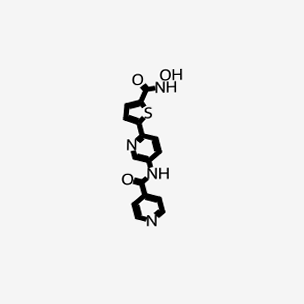 O=C(Nc1ccc(-c2ccc(C(=O)NO)s2)nc1)c1ccncc1